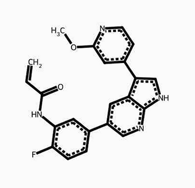 C=CC(=O)Nc1cc(-c2cnc3[nH]cc(-c4ccnc(OC)c4)c3c2)ccc1F